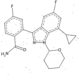 NC(=O)c1ccc(F)cc1-c1nn(C2CCCCO2)c2c(C3CC3)cc(F)cc12